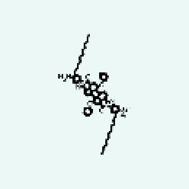 CCCCCCCCCCCCc1cc2c(cc1N)nc1c3ccc4c5c(Oc6ccccc6)cc6c(=O)n7c8cc(CCCCCCCCCCCC)c([N+](=O)[O-])cc8nc7c7ccc(c8c(Oc9ccccc9)cc(c(=O)n21)c3c48)c5c67